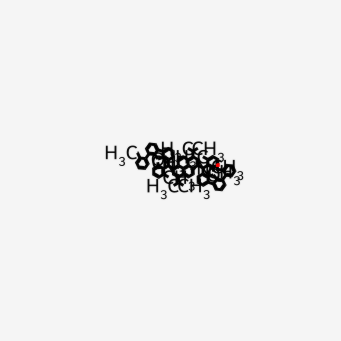 CCc1ccccc1-c1cccc2c1oc1c(N(c3c(C)cccc3C)c3cc(C(C)C)c4ccc5c(N(c6c(C)cccc6C)c6cccc7c6oc6c(-c8ccccc8CC)cccc67)cc(C(C)C)c6ccc3c4c65)cccc12